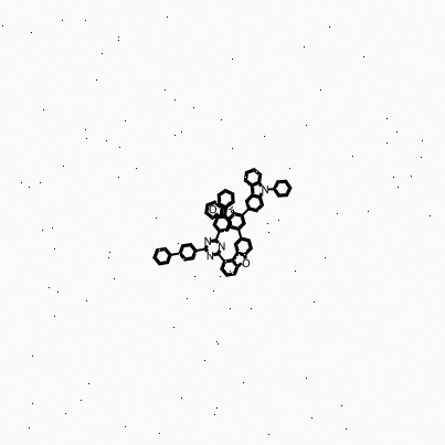 c1ccc(-c2ccc(-c3nc(-c4ccc5c(c4)oc4ccccc45)nc(-c4cccc5oc6ccc(-c7cc(-c8ccc9c(c8)c8ccccc8n9-c8ccccc8)c8sc9ccccc9c8c7)cc6c45)n3)cc2)cc1